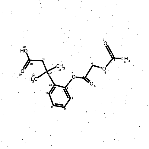 CC(=O)OCC(=O)Oc1ccccc1C(C)(C)CC(=O)O